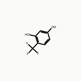 Oc1ccc(C(F)(F)F)c(O)c1